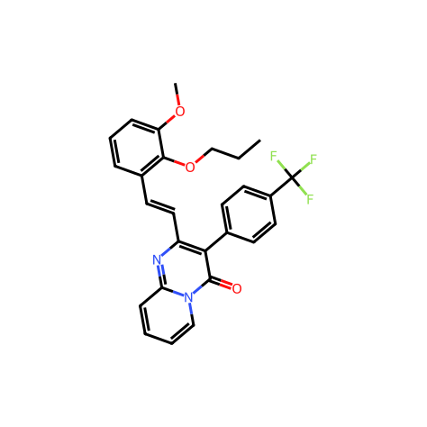 CCCOc1c(/C=C/c2nc3ccccn3c(=O)c2-c2ccc(C(F)(F)F)cc2)cccc1OC